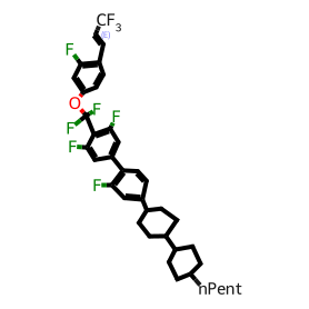 CCCCCC1CCC(C2CCC(c3ccc(-c4cc(F)c(C(F)(F)Oc5ccc(/C=C/C(F)(F)F)c(F)c5)c(F)c4)c(F)c3)CC2)CC1